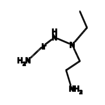 CCN(CCN)[NH][Ir][NH2]